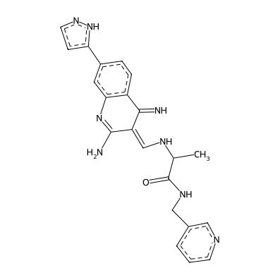 CC(N/C=C1\C(=N)c2ccc(-c3ccn[nH]3)cc2N=C1N)C(=O)NCc1cccnc1